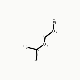 CCOCOC(C)[S]